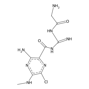 CNc1nc(N)c(C(=O)NC(=N)NC(=O)CN)nc1Cl